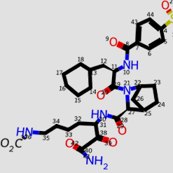 CS(=O)(=O)c1ccc(C(=O)N[C@H](CC2CCCCC2)C(=O)N2C3CCC(C3)[C@H]2C(=O)NC(CCCCNC(=O)O)C(=O)C(N)=O)cc1